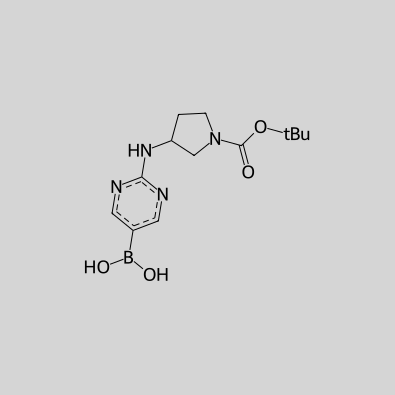 CC(C)(C)OC(=O)N1CCC(Nc2ncc(B(O)O)cn2)C1